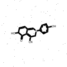 N#CC1=C2C(=O)C(O)C=CC2=CN(c2ccc(O)cc2)C1